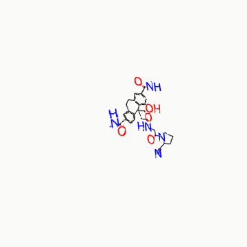 CNC(=O)c1ccc2c(c1)CCc1cc(C(=O)NC)ccc1C2(CCNCC(=O)N1CCCC1C#N)C(=O)O